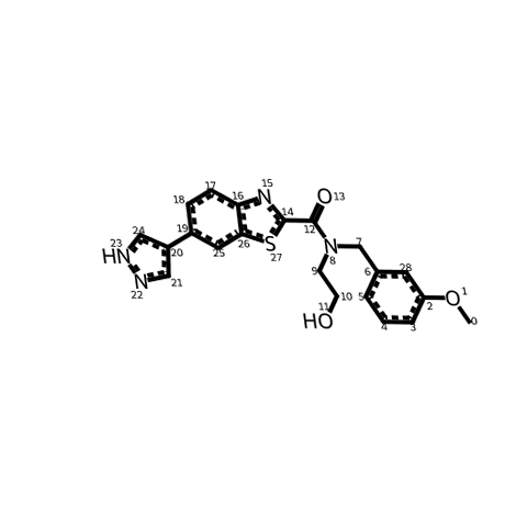 COc1cccc(CN(CCO)C(=O)c2nc3ccc(-c4cn[nH]c4)cc3s2)c1